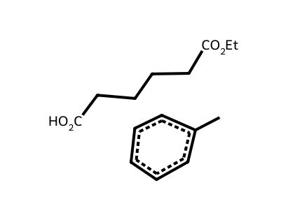 CCOC(=O)CCCCC(=O)O.Cc1ccccc1